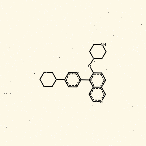 c1cc2c(-c3ccc(C4CCCCC4)cc3)c(OC3CCNCC3)ccc2cn1